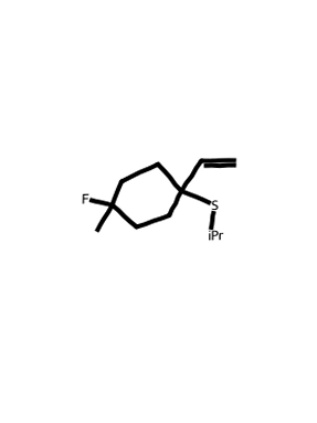 C=CC1(SC(C)C)CCC(C)(F)CC1